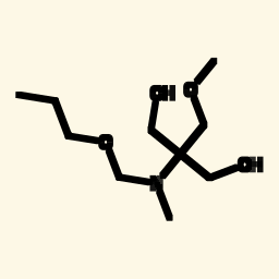 CCCOCN(C)C(CO)(CO)COC